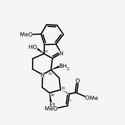 B[C@@]12C[C@H](/C(=C\OC)C(=O)OC)[C@@H](CC)CN1CC[C@@]1(O)C2=Nc2cccc(OC)c21